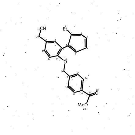 CCc1ccccc1-c1cc(CC#N)ccc1OCc1ccc(C(=O)OC)cc1